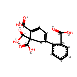 O=C(O)C1=CC=C(c2ccccc2C(=O)O)CC1(C(=O)O)C(=O)O